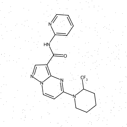 O=C(Nc1ccccn1)c1cnn2ccc(N3CCCCC3C(F)(F)F)nc12